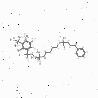 [2H]c1c([2H])c(C([2H])(O)CNC([2H])([2H])CCCCCOC([2H])([2H])CCCc2ccccc2)c([2H])c(C([2H])([2H])O)c1O